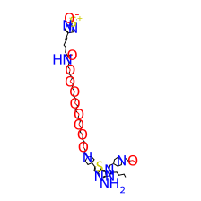 CCCCc1nc2c(N)nc3cc(C4CCN(CCOCCOCCOCCOCCOCCOCCOCCOCCNC(=O)CCCC#Cc5cnc([S+](C)[O-])nc5)CC4)sc3c2n1CC1CCN(CCOC)CC1